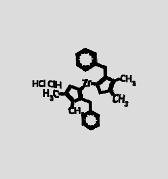 CC1=C(C)C(Cc2ccccc2)=[C]([Zr][C]2=C(Cc3ccccc3)C(C)=C(C)C2)C1.Cl.Cl